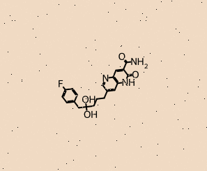 NC(=O)c1cc2ncc(CCCC(O)(O)Cc3ccc(F)cc3)cc2[nH]c1=O